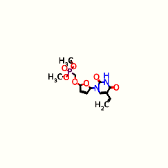 C=Cc1cn(C2C=CC(OCP(=O)(OC)OC)O2)c(=O)[nH]c1=O